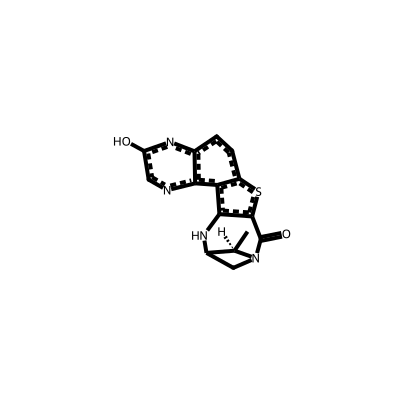 C[C@@H]1C2CN1C(=O)c1sc3ccc4nc(O)cnc4c3c1N2